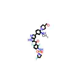 CNc1cc(-c2cnc3[nH]cc(C(=O)c4c(F)ccc(NS(=O)(=O)N5CC[C@@H](F)C5)c4F)c3c2)ccc1N1CCC(C=O)CC1